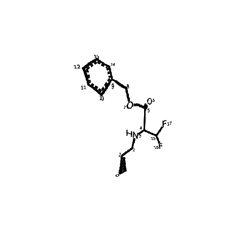 C=CCNC(C(=O)OCc1ccccc1)C(F)F